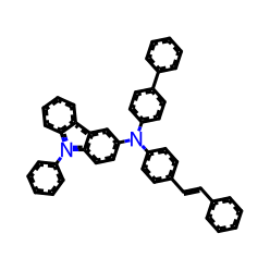 C(=C\c1ccc(N(c2ccc(-c3ccccc3)cc2)c2ccc3c(c2)c2ccccc2n3-c2ccccc2)cc1)/c1ccccc1